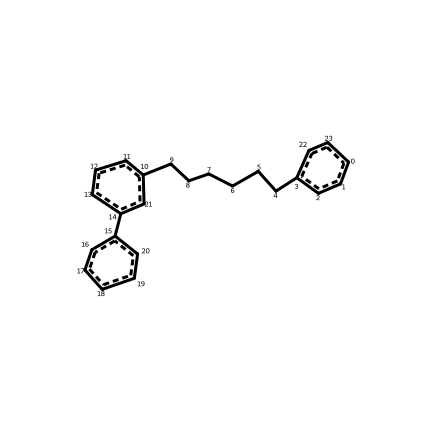 c1ccc(CCCCCCc2cccc(-c3ccccc3)c2)cc1